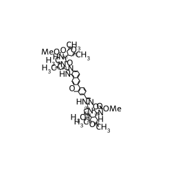 COC(=O)N[C@H](C(=O)N1[C@@H](c2nc3ccc4cc5c(cc4c3[nH]2)OCc2cc(-c3cnc([C@@H]4C[C@H](C)[C@@H]6C7C(C[C@@H](C)O[C@@H]7C)[C@H](NC(=O)OC)C(=O)N46)[nH]3)ccc2-5)C[C@@H](C)[C@H]1C)C1C[C@@H](C)O[C@H](C)C1